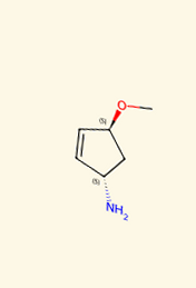 CO[C@@H]1C=C[C@@H](N)C1